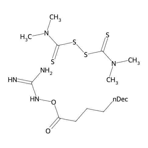 CCCCCCCCCCCCCC(=O)ONC(=N)N.CN(C)C(=S)SSC(=S)N(C)C